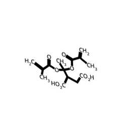 C=C(C)C(=O)OC(C)(OC(=O)C(=C)C)C(CC(=O)O)C(=O)O